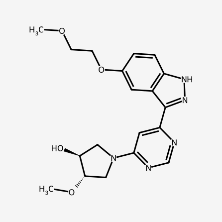 COCCOc1ccc2[nH]nc(-c3cc(N4C[C@H](OC)[C@@H](O)C4)ncn3)c2c1